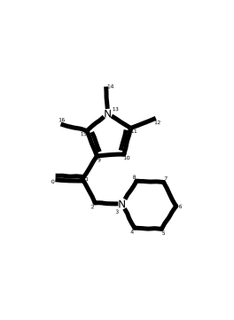 C=C(CN1CCCCC1)c1cc(C)n(C)c1C